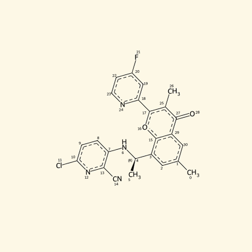 Cc1cc([C@@H](C)Nc2ccc(Cl)nc2C#N)c2oc(-c3cc(F)ccn3)c(C)c(=O)c2c1